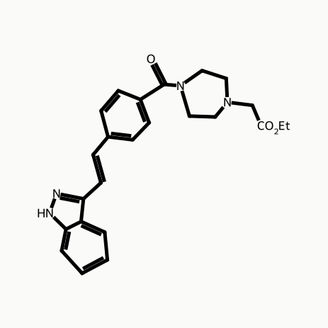 CCOC(=O)CN1CCN(C(=O)c2ccc(C=Cc3n[nH]c4ccccc34)cc2)CC1